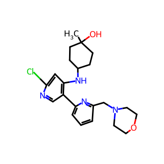 CC1(O)CCC(Nc2cc(Cl)ncc2-c2cccc(CN3CCOCC3)n2)CC1